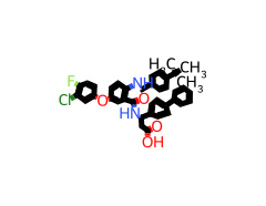 CC(C)(C)c1ccc(CNc2ccc(Oc3ccc(F)c(Cl)c3)cc2C(=O)NC(CC(=O)O)c2ccc(-c3ccccc3)cc2)cc1